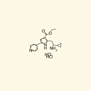 CCOC(=O)c1cc(-c2ccncc2)[nH]c1CC(N)C1CC1.Cl.Cl